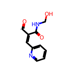 O=[C]C(=Cc1ccccn1)C(=O)NCO